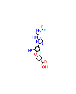 N#Cc1cc(-c2ncnc(NC3C=NN(C(F)F)C3)n2)ccc1O[C@H]1CCN(C(=O)CO)C[C@H]1F